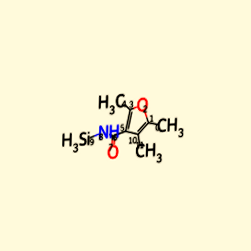 Cc1oc(C)c(C(=O)N[SiH3])c1C